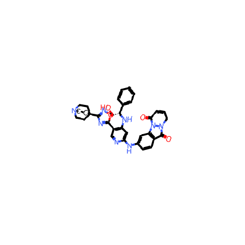 O=C1C=CCn2c(=O)c3ccc(Nc4cc(N[C@H](CO)c5ccccc5)c(-c5nc(C67CCN(CC6)CC7)no5)cn4)cc3n21